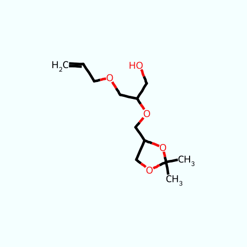 C=CCOCC(CO)OCC1COC(C)(C)O1